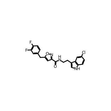 O=C(NCCc1c[nH]c2ccc(Cl)cc12)c1cc(Cc2ccc(F)c(F)c2)on1